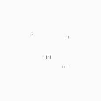 CCCNC(C(C)C)C(C)C